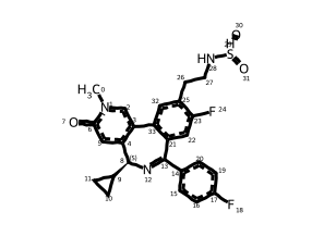 Cn1cc2c(cc1=O)[C@H](C1CC1)N=C(c1ccc(F)cc1)c1cc(F)c(CCN[SH](=O)=O)cc1-2